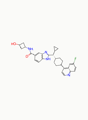 O=C(NC1CC(O)C1)c1ccc2[nH]c([C@@H](C3CCC(c4ccnc5ccc(F)cc45)CC3)C3CC3)nc2c1